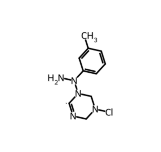 Cc1cccc(N(N)N2[C]=NCN(Cl)C2)c1